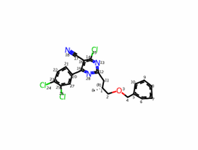 C[C@@H](COCc1ccccc1)Cc1nc(Cl)c(C#N)c(-c2ccc(Cl)c(Cl)c2)n1